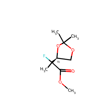 COC(=O)C(C)(F)[C@@H]1COC(C)(C)O1